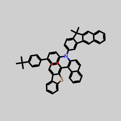 CC(C)(C)c1ccc(-c2ccc(N(c3ccc4c(c3)-c3cc5ccccc5cc3C4(C)C)c3ccc4ccccc4c3-c3cccc4c3sc3ccccc34)cc2)cc1